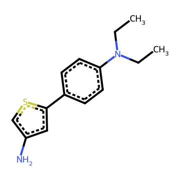 CCN(CC)c1ccc(-c2cc(N)cs2)cc1